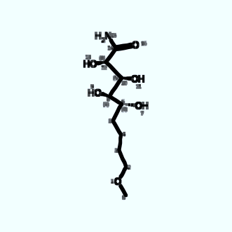 COCCCC[C@@H](O)[C@@H](O)[C@H](O)[C@@H](O)C(N)=O